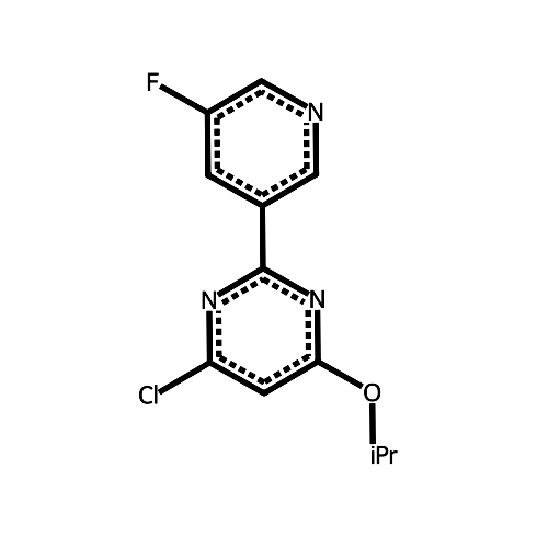 CC(C)Oc1cc(Cl)nc(-c2cncc(F)c2)n1